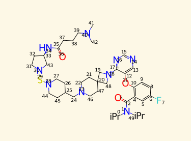 CC(C)N(C(=O)c1cc(F)ccc1Oc1cncnc1N1CC2(CCN(CC3CCN(SN4CC[C@@H](NC(=O)CCCN(C)C)C4)CC3)CC2)C1)C(C)C